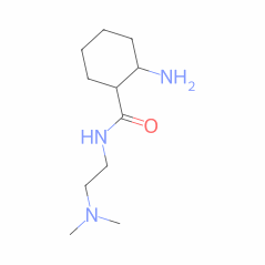 CN(C)CCNC(=O)C1CCCCC1N